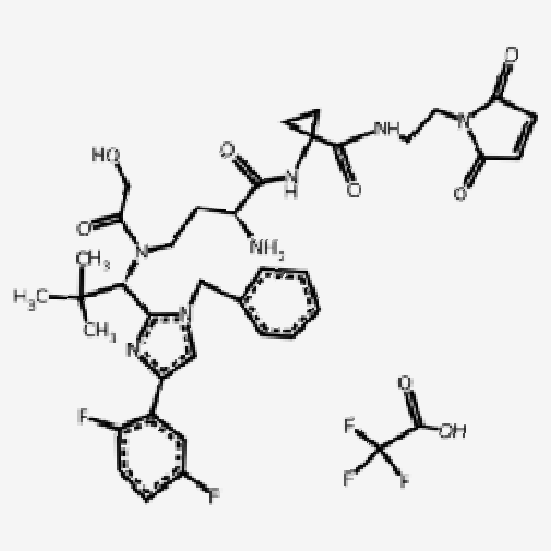 CC(C)(C)[C@H](c1nc(-c2cc(F)ccc2F)cn1Cc1ccccc1)N(CC[C@H](N)C(=O)NC1(C(=O)NCCN2C(=O)C=CC2=O)CC1)C(=O)CO.O=C(O)C(F)(F)F